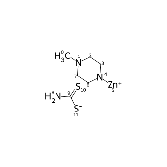 CN1CC[N]([Zn+])CC1.NC(=S)[S-]